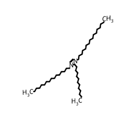 CCCCCCCCCCCCCCCCN1C=CN(CCCCCCCCCCCCCCCC)C1CCCCCCCCCCCC